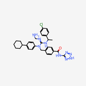 CC(N/C(=N/CN)N(Cc1ccc(C(=O)Nc2nn[nH]n2)cc1)c1ccc(C2CCCCC2)cc1)c1ccc(Cl)cc1